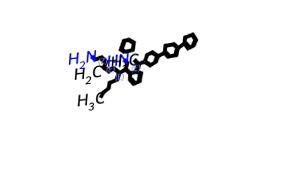 C=C(/C=C\CN)/C=C/C(=C\CCCC)C(CNC1C=CCCC1)C1C=CC=C/C1=C(/C)C1CC=C(C2=CC=C(C3=CC=CCC3)CC2)CC1